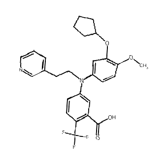 COc1ccc(N(CCc2cccnc2)c2ccc(C(F)(F)F)c(C(=O)O)c2)cc1OC1CCCC1